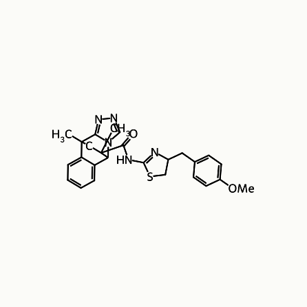 COc1ccc(CC2CSC(NC(=O)C3(C)CC4(C)c5ccccc5C3n3cnnc34)=N2)cc1